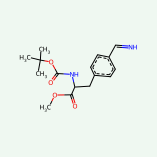 COC(=O)C(Cc1ccc(C=N)cc1)NC(=O)OC(C)(C)C